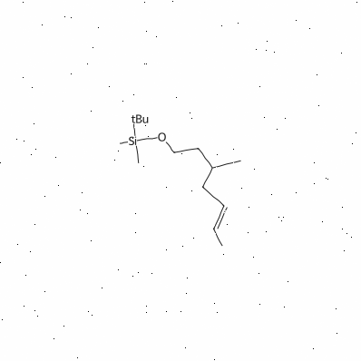 CC=CCC(C)CCO[Si](C)(C)C(C)(C)C